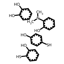 CN(C)c1ccccc1O.Oc1ccc(S)cc1.Oc1ccccc1O.Oc1ccccc1S